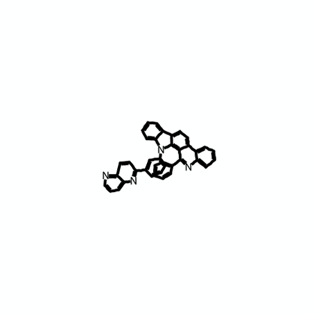 c1ccc(-c2nc3ccccc3c3ccc4c5ccccc5n(-c5cccc(-c6ccc7ncccc7n6)c5)c4c23)cc1